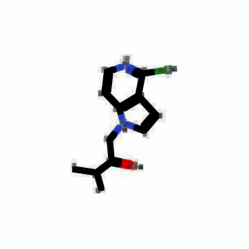 CC(C)C(=O)Cn1ccc2c(Cl)nccc21